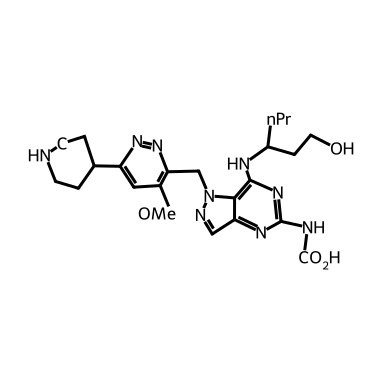 CCCC(CCO)Nc1nc(NC(=O)O)nc2cnn(Cc3nnc(C4CCNCC4)cc3OC)c12